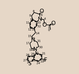 CC(=O)OCN1C(=O)CCc2ccc(CCN3CCN(c4cc(F)cc5sccc45)CC3)cc21